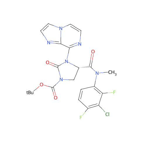 CN(C(=O)[C@@H]1CN(C(=O)OC(C)(C)C)C(=O)N1c1nccn2ccnc12)c1ccc(F)c(Cl)c1F